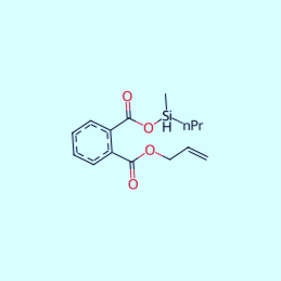 C=CCOC(=O)c1ccccc1C(=O)O[SiH](C)CCC